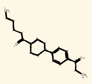 CCCCCC(=O)C1CCC(c2ccc(C(=O)CC)cc2)CC1